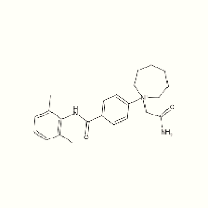 Cc1cccc(C)c1NC(=O)c1ccc([N+]2(CC(N)=O)CCCCCC2)cc1